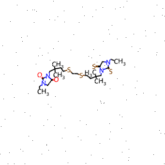 CCN1CC(=O)N(CC(C)(C)CCSCCSCCC(C)(C)CN2C(=S)CN(CC)C2=S)C1=O